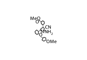 COC(=O)c1cccc(-c2cc(-c3ccccc3OCc3ccc(OC)cc3)nc(N)c2C#N)c1